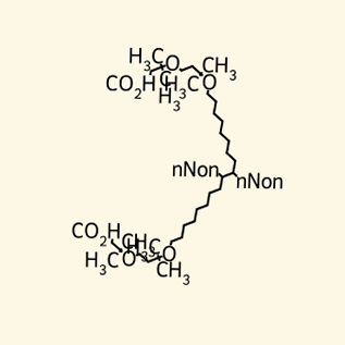 CCCCCCCCCC(CCCCCCCCOC(C)(C)CCOC(C)(C)CC(=O)O)C(CCCCCCCCC)CCCCCCCCOC(C)(C)CCOC(C)(C)CC(=O)O